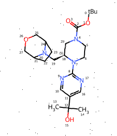 CC(C)(C)OC(=O)N1CCN(c2ncc(C(C)(C)O)cn2)[C@@H](CN2C3CCC2COC3)C1